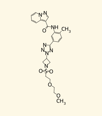 COCCOCCS(=O)(=O)N1CC(n2nnc(-c3ccc(C)c(NC(=O)c4cnn5ccccc45)c3)n2)C1